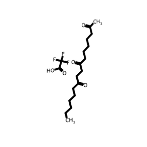 CCCCCCC(=O)CCC(=O)CCCCCC(C)=O.O=C(O)C(F)(F)F